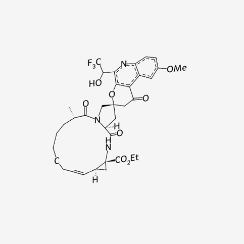 CCOC(=O)[C@@]12C[C@H]1/C=C\CCCCC[C@H](C)C(=O)N1C[C@@]3(CC(=O)c4c(c(C(O)C(F)(F)F)nc5ccc(OC)cc45)O3)C[C@H]1C(=O)N2